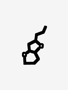 CCCC1CC2OCCCC2O1